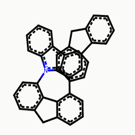 c1ccc2c(c1)Cc1ccc(-c3cccc4c3-c3c(cccc3-n3c5ccccc5c5ccccc53)C4)cc1-2